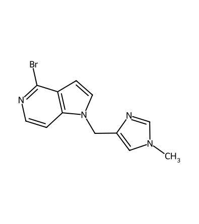 Cn1cnc(Cn2ccc3c(Br)nccc32)c1